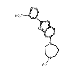 CN1CCCN(c2ccc3nc(-c4cccc(C(=O)O)c4)oc3c2)CC1